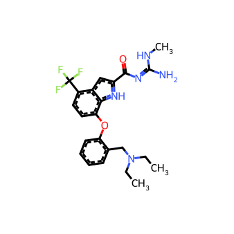 CCN(CC)Cc1ccccc1Oc1ccc(C(F)(F)F)c2cc(C(=O)N=C(N)NC)[nH]c12